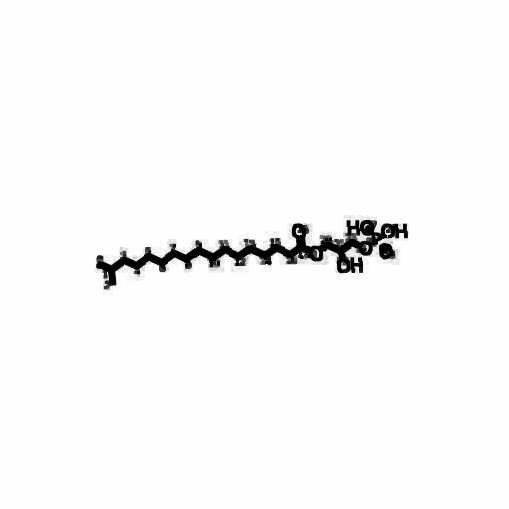 CC(C)CCCCCCCCCCCCCCC(=O)OCC(O)COP(=O)(O)O